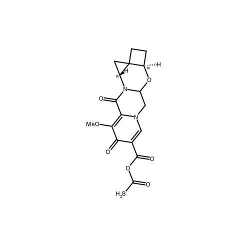 BC(=O)OC(=O)c1cn2c(c(OC)c1=O)C(=O)N1C(C2)O[C@@H]2CCC23C[C@@H]13